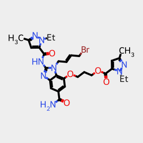 CCn1nc(C)cc1C(=O)Nc1nc2cc(C(N)=O)cc(OCCCOC(=O)c3cc(C)nn3CC)c2n1C/C=C/CBr